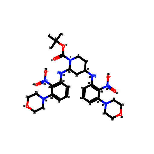 CC(C)(C)OC(=O)N1CCC(Nc2cccc(N3CCOCC3)c2[N+](=O)[O-])CC1Nc1cccc(N2CCOCC2)c1[N+](=O)[O-]